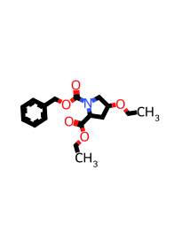 CCOC(=O)C1CC(OCC)CN1C(=O)OCc1ccccc1